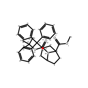 COC(=O)C12CCC(CN(C(c3ccccc3)(c3ccccc3)c3ccccc3)C1)N2C(=O)OC(C)(C)C